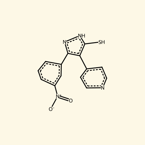 O=[N+]([O-])c1cccc(-c2n[nH]c(S)c2-c2ccncc2)c1